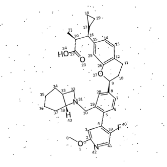 COc1cc(-c2ccc([C@@H]3CCc4ccc([C@H](C5CC5)[C@H](C)C(=O)O)cc4O3)cc2CN2CC3CCCC[C@H]32)c(F)cn1